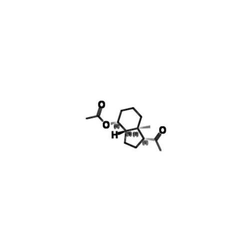 CC(=O)O[C@@H]1CCC[C@]2(C)[C@@H]1CC[C@H]2C(C)=O